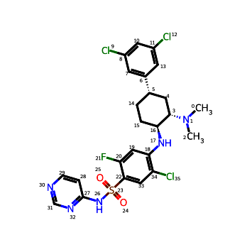 CN(C)[C@H]1C[C@@H](c2cc(Cl)cc(Cl)c2)CC[C@@H]1Nc1cc(F)c(S(=O)(=O)Nc2ccncn2)cc1Cl